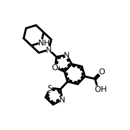 O=C(O)c1cc(-c2nccs2)c2oc(N3CC4CCCC(C3)N4)nc2c1